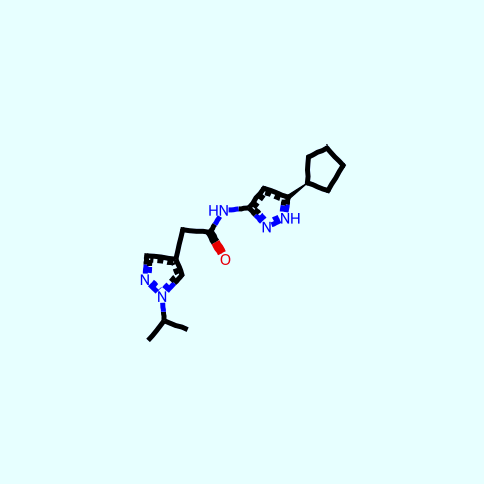 CC(C)n1cc(CC(=O)Nc2cc([C@H]3C[CH]CC3)[nH]n2)cn1